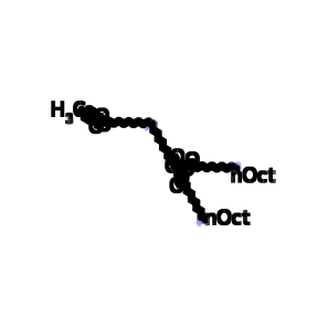 CCCCCCCC/C=C\CCCCCCCC(=O)OCC(COC(=O)CCCCCCC/C=C\CCCCCCCC)OC(=O)CCCCCCC/C=C\CCCCCCCCOS(=O)(=O)c1ccc(C)cc1